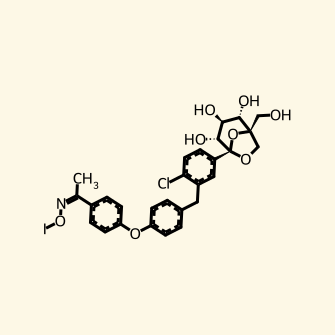 C/C(=N/OI)c1ccc(Oc2ccc(Cc3cc([C@]45OC[C@](CO)(O4)[C@@H](O)[C@H](O)[C@H]5O)ccc3Cl)cc2)cc1